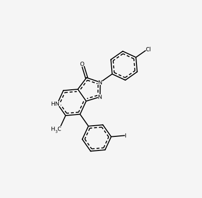 Cc1[nH]cc2c(=O)n(-c3ccc(Cl)cc3)nc-2c1-c1cccc(I)c1